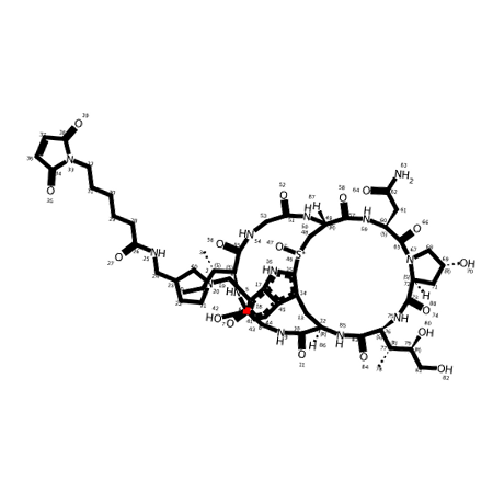 CC[C@H](C)[C@@H]1NC(=O)CNC(=O)[C@H]2Cc3c([nH]c4c(CN5CCC(CNC(=O)CCCCCN6C(=O)C=CC6=O)C5)c(O)ccc34)[S+]([O-])C[C@H](NC(=O)CNC1=O)C(=O)N[C@@H](CC(N)=O)C(=O)N1C[C@H](O)C[C@H]1C(=O)N[C@@H]([C@@H](C)[C@@H](O)CO)C(=O)N2